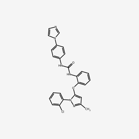 Cc1cc(Oc2ccccc2NC(=O)Nc2ccc(-n3ccnc3)cc2)n(-c2ccccc2Cl)n1